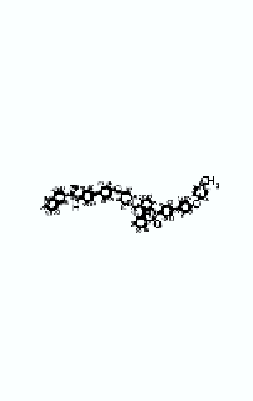 CN1CCC(Oc2ccc(-c3ccc(NC(=O)c4ccccc4-c4ccccc4CN4CCC(Oc5ccc(-c6ccc(NC(=O)c7ccc8ncccc8c7)cc6)cc5)CC4)cc3)cc2)CC1